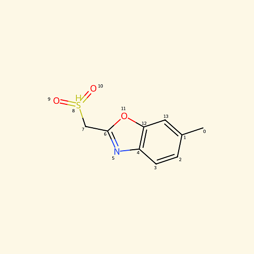 Cc1ccc2nc(C[SH](=O)=O)oc2c1